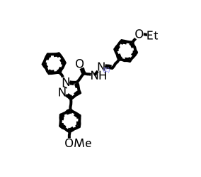 CCOc1ccc(/C=N/NC(=O)c2cc(-c3ccc(OC)cc3)nn2-c2ccccc2)cc1